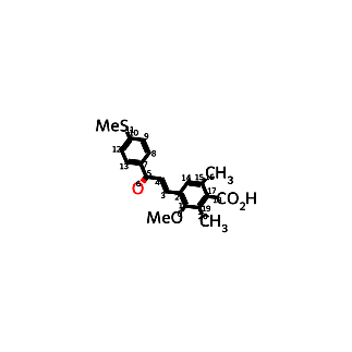 COc1c(C=CC(=O)c2ccc(SC)cc2)cc(C)c(C(=O)O)c1C